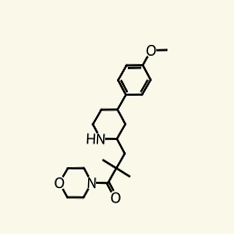 COc1ccc(C2CCNC(CC(C)(C)C(=O)N3CCOCC3)C2)cc1